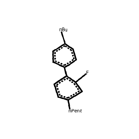 CCCCCc1ccc(-c2ccc(CCCC)cc2)c(F)c1